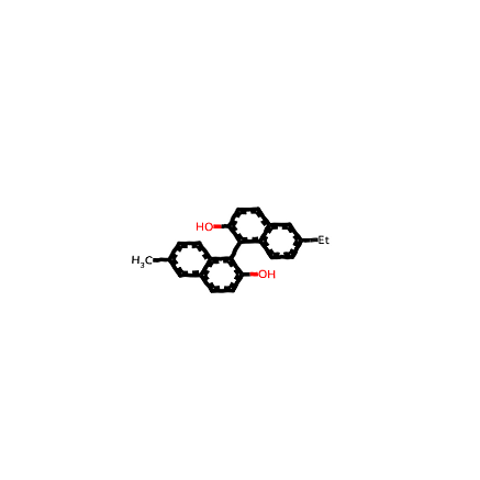 CCc1ccc2c(-c3c(O)ccc4cc(C)ccc34)c(O)ccc2c1